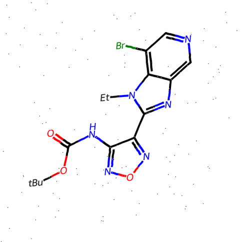 CCn1c(-c2nonc2NC(=O)OC(C)(C)C)nc2cncc(Br)c21